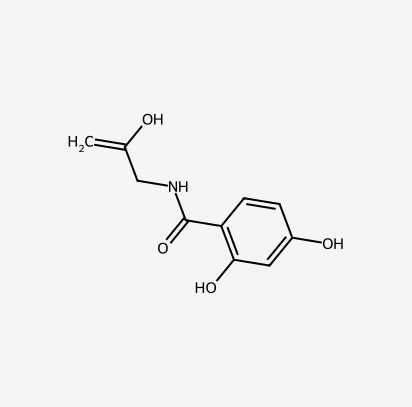 C=C(O)CNC(=O)c1ccc(O)cc1O